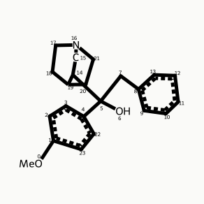 COc1ccc(C(O)(Cc2ccccc2)C2CN3CCC2CC3)cc1